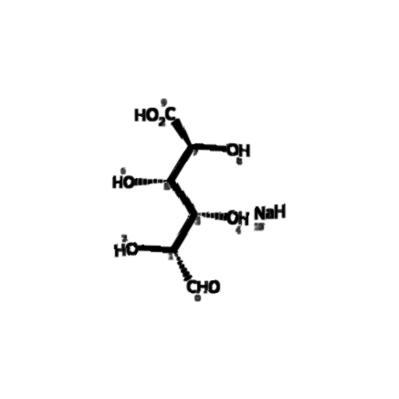 O=C[C@H](O)[C@@H](O)[C@H](O)[C@H](O)C(=O)O.[NaH]